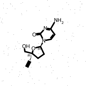 C#C[C@@]1(CO)CC[C@H](n2ccc(N)nc2=O)O1